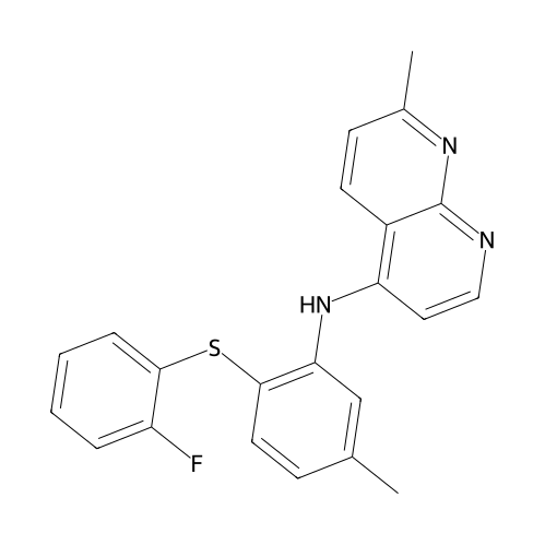 Cc1ccc(Sc2ccccc2F)c(Nc2ccnc3nc(C)ccc23)c1